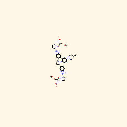 COC(=O)N[C@H](C(=O)N1CCC[C@H]1c1nc2cc([C@H]3CC[C@@H]4c5cc6nc([C@@H]7CCCN7C(=O)[C@@H](NC(=O)OC)[C@@H](C)OC(C)(C)C)[nH]c6cc5-c5c(cc(F)c(N6CCC(C(C)(C)C)CC6)c5F)N34)c(F)cc2[nH]1)[C@@H](C)OC(C)(C)C